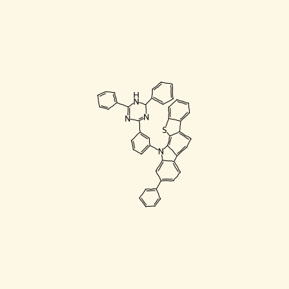 c1ccc(C2=NC(c3cccc(-n4c5cc(-c6ccccc6)ccc5c5ccc6c7ccccc7sc6c54)c3)=NC(c3ccccc3)N2)cc1